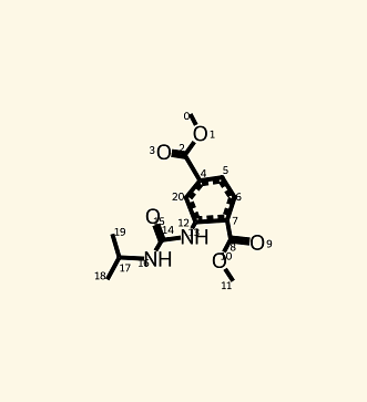 COC(=O)c1ccc(C(=O)OC)c(NC(=O)NC(C)C)c1